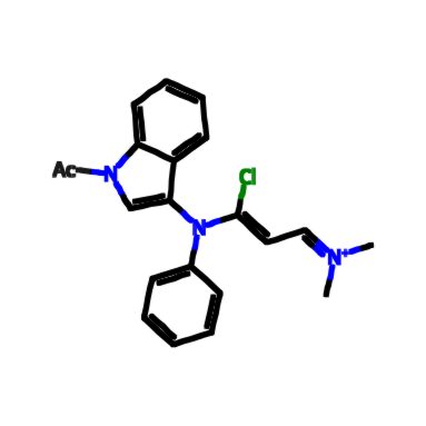 CC(=O)n1cc(N(/C(Cl)=C/C=[N+](C)C)c2ccccc2)c2ccccc21